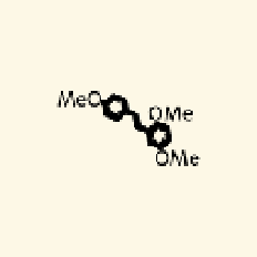 COc1ccc(/C=C/c2cc(OC)ccc2OC)cc1